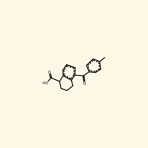 Cc1ccc(C(=O)c2cccc3c2CCCC3C(=O)O)cc1